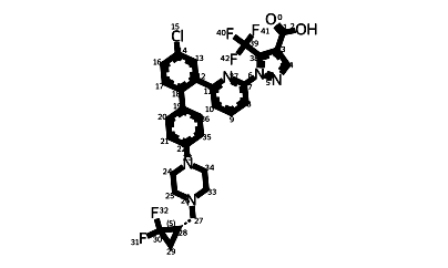 O=C(O)c1cnn(-c2cccc(-c3cc(Cl)ccc3-c3ccc(N4CCN(C[C@@H]5CC5(F)F)CC4)cc3)n2)c1C(F)(F)F